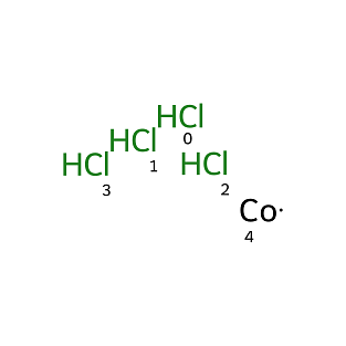 Cl.Cl.Cl.Cl.[Co]